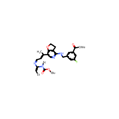 CC/C=C(/N=C\C=C(/C)c1cnc(NCc2cc(F)cc(C(=O)OC)c2)c2c1OCC2)N(C(C)=O)C(=O)OC(C)(C)C